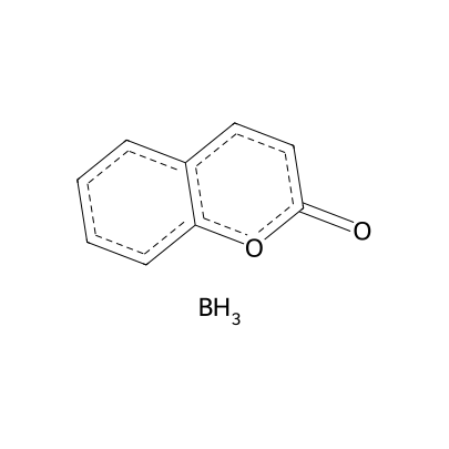 B.O=c1ccc2ccccc2o1